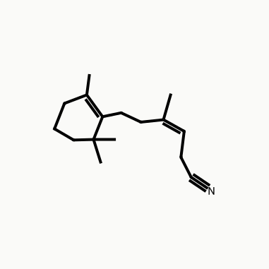 CC1=C(CC/C(C)=C\CC#N)C(C)(C)CCC1